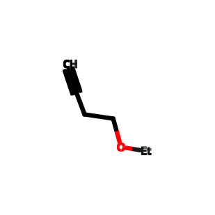 C#CCCOC[CH2]